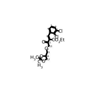 CCOC(=O)C(=Cc1cccc(Cl)c1Cl)C(=O)COCC1COC(C)(C)O1